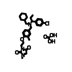 CCC(c1ccc(Cl)cc1)N(Cc1ccc(OCCN2C(=O)CN(C)C2=O)c(C)c1)CC1CCCCC1.O=C(O)O